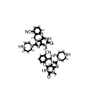 CCCC(c1ccccc1C#N)n1c(N2CCCNCC2)nc2c1c(=O)[nH]c(=O)n2C.Cn1c(=O)[nH]c(=O)c2c1nc(N1CCCNCC1)n2Cc1ccccc1C#N